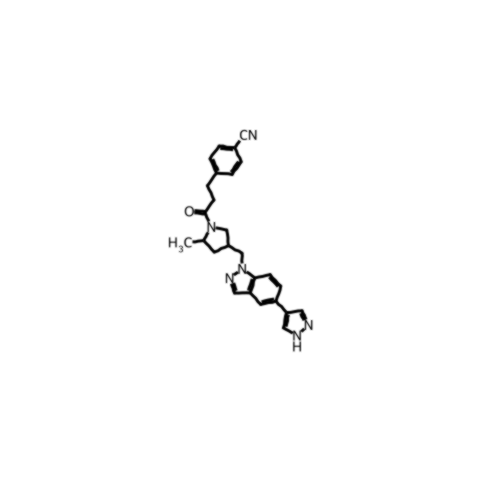 CC1CC(Cn2ncc3cc(-c4cn[nH]c4)ccc32)CN1C(=O)CCc1ccc(C#N)cc1